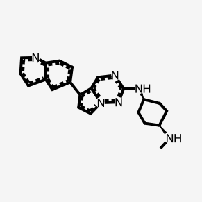 CN[C@H]1CC[C@@H](Nc2ncc3c(-c4ccc5ncccc5c4)ccn3n2)CC1